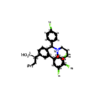 CC(C)C[C@@H](C(=O)O)c1ccc(C(c2ccc(F)cc2)N2CCCCC2)c(-c2cc(F)c(F)c(F)c2)c1